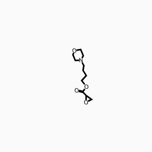 O=C(OCCCCN1CCOCC1)C1CO1